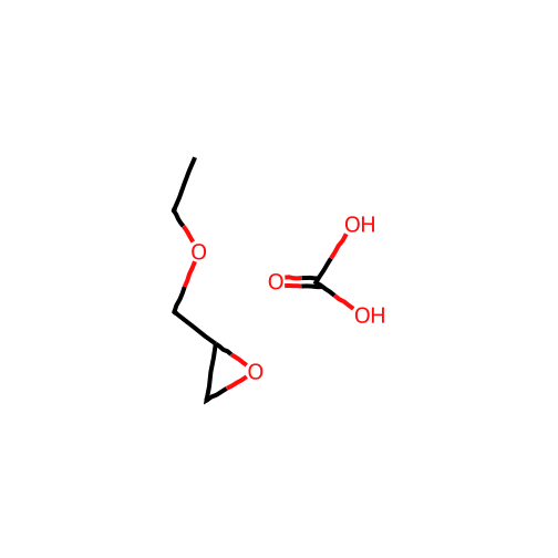 CCOCC1CO1.O=C(O)O